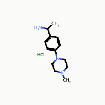 CC(N)c1ccc(N2CCN(C)CC2)cc1.Cl